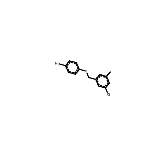 Cc1cc(Cl)cc(COc2ccc(O)cc2)c1